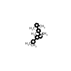 Cc1cc(-c2c(C)cccc2C)ccc1-c1c2ccc(C3CCC(C)(C)CC3)cc2cc[n+]1C